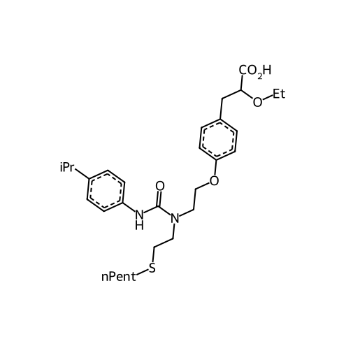 CCCCCSCCN(CCOc1ccc(CC(OCC)C(=O)O)cc1)C(=O)Nc1ccc(C(C)C)cc1